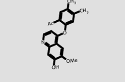 COc1cc2c(Oc3cc(C)c(C)cc3C(C)=O)ccnc2cc1O